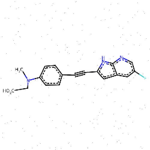 CN(CC(=O)O)c1ccc(C#Cc2cc3cc(F)cnc3[nH]2)cc1